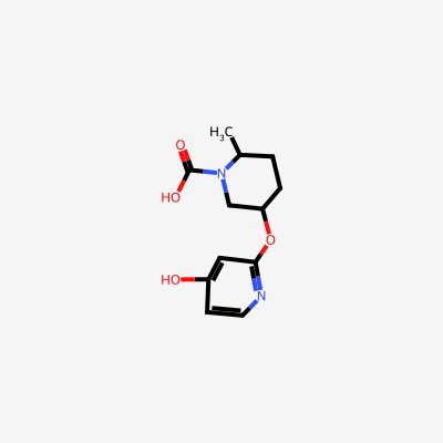 CC1CCC(Oc2cc(O)ccn2)CN1C(=O)O